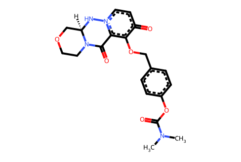 CN(C)C(=O)Oc1ccc(COc2c3n(ccc2=O)N[C@@H]2COCCN2C3=O)cc1